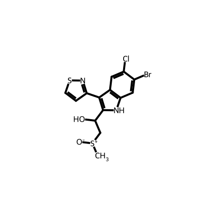 C[S+]([O-])CC(O)c1[nH]c2cc(Br)c(Cl)cc2c1-c1ccsn1